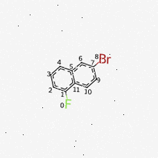 Fc1cccc2cc(Br)ccc12